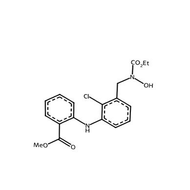 CCOC(=O)N(O)Cc1cccc(Nc2ccccc2C(=O)OC)c1Cl